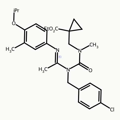 CCOC(=O)C1(CN(C)C(=O)N(Cc2ccc(Cl)cc2)/C(C)=N/c2ccc(OC(C)C)c(C)c2)CC1